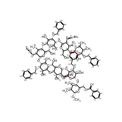 CO[C@H]1OC(COC(=O)c2ccccc2)[C@@H](O[C@@H]2OC(C)[C@@H](O[C@H]3OC(CO)[C@H](O[C@@H]4OC(C)[C@@H](O[C@H]5OC(CO)[C@@H](O[C@@H]6OC(C)[C@@H](O[C@@H]7OC(CO)[C@H](O[C@@H]8OC(C)[C@@H](C)[C@@H](OCc9ccccc9)C8O)[C@H](C)C7N=[N+]=[N-])[C@@H](OCc7ccccc7)C6O)[C@H](C)C5N=[N+]=[N-])[C@@H](OCc5ccccc5)C4O)[C@H](C)C3N=[N+]=[N-])[C@@H](OCc3ccccc3)C2O)[C@H](C)C1C